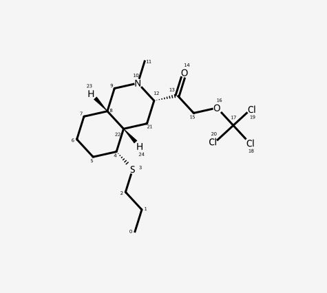 CCCS[C@@H]1CCC[C@@H]2CN(C)[C@H](C(=O)COC(Cl)(Cl)Cl)C[C@@H]21